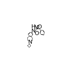 O=C(Nc1ccc2c(c1)CCN(C1CCC1)CC2)c1ncoc1-c1ccccc1